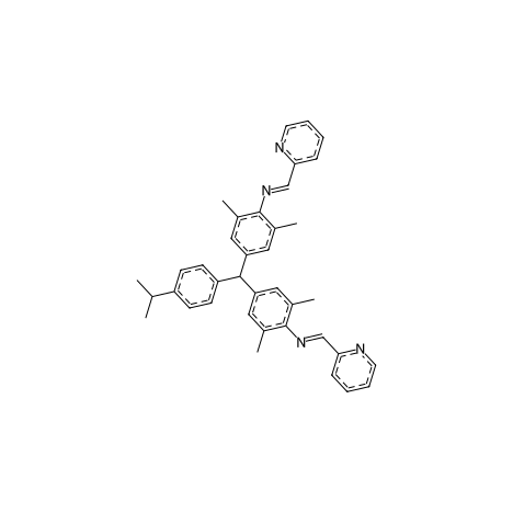 Cc1cc(C(c2ccc(C(C)C)cc2)c2cc(C)c(N=Cc3ccccn3)c(C)c2)cc(C)c1N=Cc1ccccn1